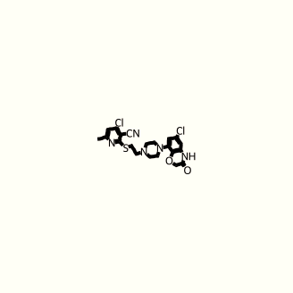 Cc1cc(Cl)c(C#N)c(SCCN2CCN(c3cc(Cl)cc4c3OCC(=O)N4)CC2)n1